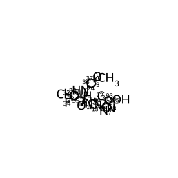 CO[C@H]1CC[C@H](NC[C@@H](C(=O)N2CCN(c3ncnc4c3C(C)C[C@H]4O)CC2)c2ccc(Cl)c(F)c2)CC1